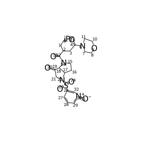 CC(C)CC(CC(=O)N1CCOCC1)C(=O)N1CCC2C1C(=O)CN2S(=O)(=O)c1ccc[n+]([O-])c1